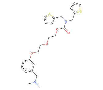 CN(C)Cc1cccc(OCCOCCOC(=O)N(Cc2cccs2)Cc2cccs2)c1